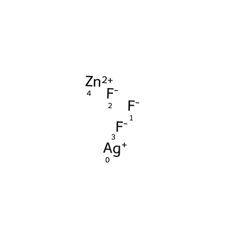 [Ag+].[F-].[F-].[F-].[Zn+2]